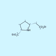 CCOC(=O)C[C@H]1CC[C@@H](C(=O)OCC)N1